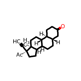 C#C[C@]1(C(C)=O)CC[C@H]2[C@@H]3CC[C@H]4CC(=O)CC[C@@H]4[C@H]3CC[C@@]21C